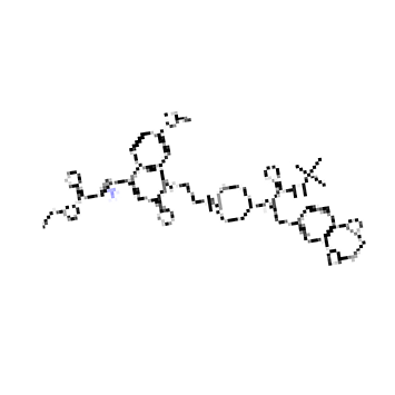 CCOC(=O)/C=C/c1cc(=O)n(CCN2CCC(N(Cc3ccc4c(c3)OCCO4)C(=O)OC(C)(C)C)CC2)c2cc(OC)ccc12